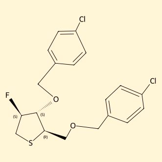 F[C@@H]1CS[C@H](COCc2ccc(Cl)cc2)[C@H]1OCc1ccc(Cl)cc1